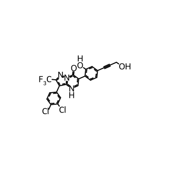 O=c1c(-c2ccc(C#CCO)cc2O)c[nH]c2c(-c3ccc(Cl)c(Cl)c3)c(C(F)(F)F)nn12